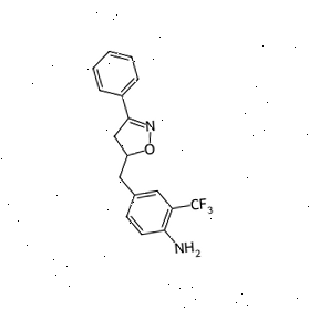 Nc1ccc(CC2CC(c3ccccc3)=NO2)cc1C(F)(F)F